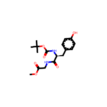 COC(=O)CNC(=O)[C@H](Cc1ccc(O)cc1)NC(=O)OC(C)(C)C